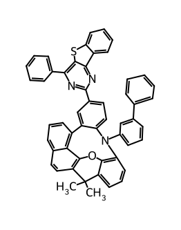 CC1(C)c2cccc3c2Oc2c1ccc1cccc(c21)-c1cc(-c2nc(-c4ccccc4)c4sc5ccccc5c4n2)ccc1N3c1cccc(-c2ccccc2)c1